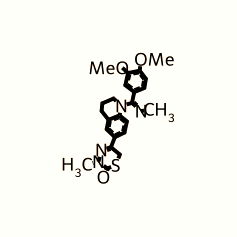 CN=C(c1ccc(OC)c(OC)c1)N1CCCc2cc(C3=NN(C)C(=O)SC3)ccc21